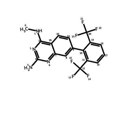 CNc1nc(N)nc2cc(-c3c(C(F)(F)F)cccc3C(F)(F)F)ccc12